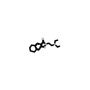 CCN(CC)CCn1sc2cc3c(cc2c1=O)CCCC3